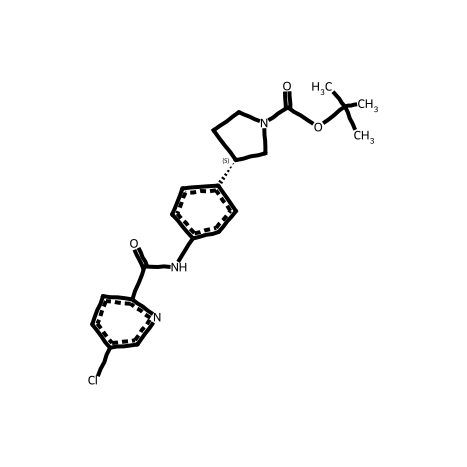 CC(C)(C)OC(=O)N1CC[C@@H](c2ccc(NC(=O)c3ccc(Cl)cn3)cc2)C1